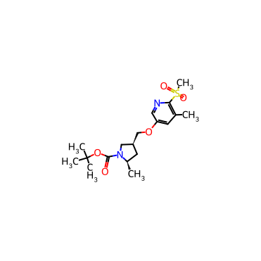 Cc1cc(OC[C@H]2C[C@@H](C)N(C(=O)OC(C)(C)C)C2)cnc1S(C)(=O)=O